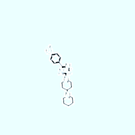 COc1ccc(-c2nsc(N3CCC(N4CCCCC4)CC3)n2)cc1